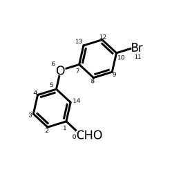 O=Cc1cccc(Oc2ccc(Br)cc2)c1